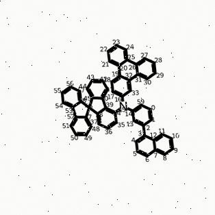 c1cc(-c2cccc3ccccc23)cc(N(c2ccc3c4ccccc4c4ccccc4c3c2)c2cccc3c2-c2ccccc2C32c3ccccc3-c3ccccc32)c1